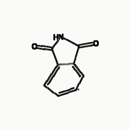 O=C1NC(=O)c2cc[c]cc21